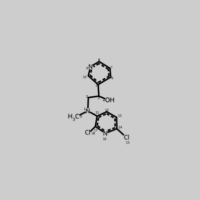 CN(CC(O)c1cccnc1)c1ccc(Cl)nc1Cl